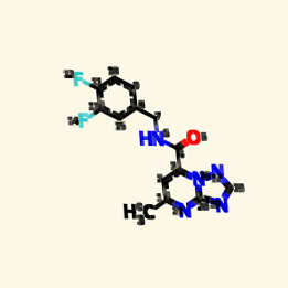 Cc1cc(C(=O)NCc2ccc(F)c(F)c2)n2ncnc2n1